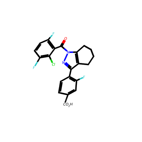 O=C(O)c1ccc(-c2nn(C(=O)c3c(F)ccc(F)c3Cl)c3c2CCCC3)c(F)c1